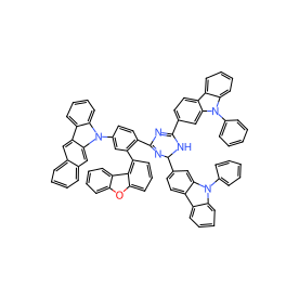 c1ccc(-n2c3ccccc3c3ccc(C4=NC(c5ccc(-n6c7ccccc7c7cc8ccccc8cc76)cc5-c5cccc6oc7ccccc7c56)=NC(c5ccc6c7ccccc7n(-c7ccccc7)c6c5)N4)cc32)cc1